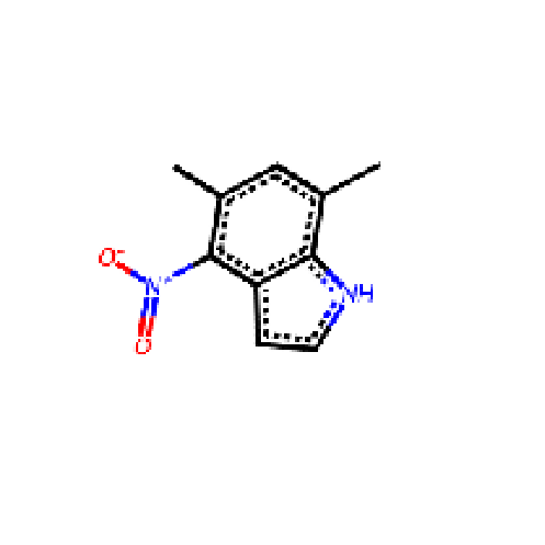 Cc1cc(C)c2[nH]ccc2c1[N+](=O)[O-]